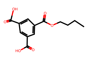 CCCCOC(=O)c1cc(C(=O)O)cc(C(=O)O)c1